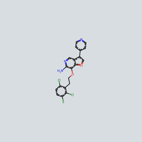 Nc1ncc2c(-c3ccncc3)coc2c1OCCc1c(Cl)ccc(F)c1Cl